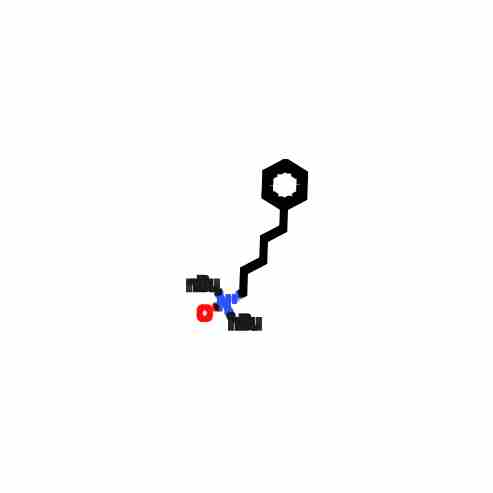 CCCC[N+]([O-])(CCCC)CCCCCc1ccccc1